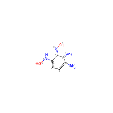 N=C1C(N)=CC=C(NO)/C1=N/O